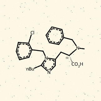 CCCCc1ncc(C[C@@H](C(=O)O)N(C)Cc2ccccc2)n1Cc1ccccc1Cl